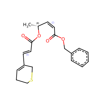 C[C@H](/C=C\C(=O)OCc1ccccc1)OC(=O)/C=C/C1=CCCSC1